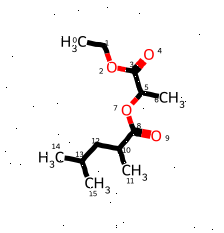 CCOC(=O)C(C)OC(=O)C(C)CC(C)C